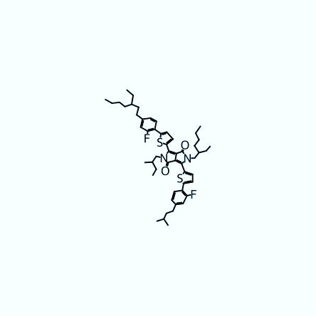 CCCCC(CC)CCc1ccc(-c2ccc(C3=C4C(=O)N(CC(CC)CCCC)C(c5ccc(-c6ccc(CCC(C)C)cc6F)s5)=C4C(=O)N3CC(C)CC)s2)c(F)c1